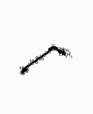 CNc1cc(C)ccc1C1CCN(C[C@@H](O)C2CCN(C(=O)c3cc4ccc(OCCOCCOCCOCCNC(=O)CCC(=O)NCCOCCOCCOCCNc5ccc([N+](=O)[O-])cc5[N+](=O)[O-])cc4[nH]3)CC2)C[C@H]1C